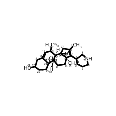 CC1=C(C2CCCNC2)[C@@]2(C)CC[C@H]3[C@@H](C(C)C=C4CC(O)CC[C@@]43C)[C@@H]2C1